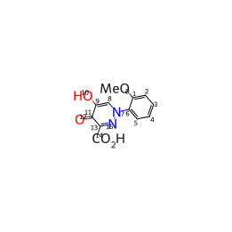 COc1ccccc1-n1cc(O)c(=O)c(C(=O)O)n1